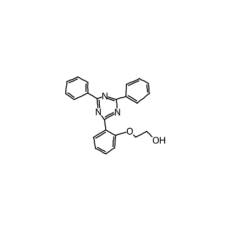 OCCOc1ccccc1-c1nc(-c2ccccc2)nc(-c2ccccc2)n1